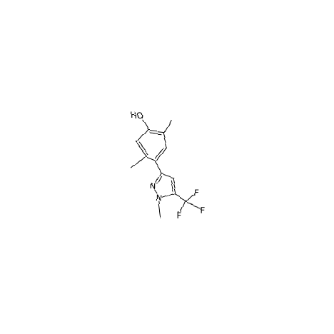 Cc1cc(-c2cc(C(F)(F)F)n(C)n2)c(C)cc1O